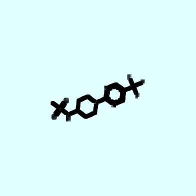 CS(=O)(=O)NC1CCN(c2ncc(C(F)(F)F)cn2)CC1